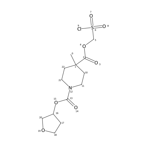 CC1(C(=O)OCS(=O)(=O)Cl)CCN(C(=O)OC2CCOC2)CC1